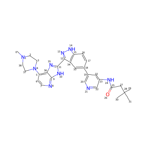 CN1CCN(c2ccnc3[nH]c(-c4n[nH]c5ccc(-c6cncc(NC(=O)CC(C)(C)C)c6)cc45)nc23)CC1